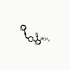 COc1ccnc(N2CCC(=CC#Cc3ccccn3)CC2)c1C#N